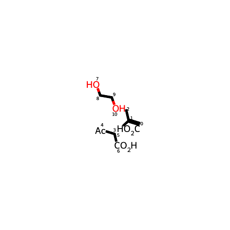 C=C(C)C(=O)O.CC(=O)CC(=O)O.OCCO